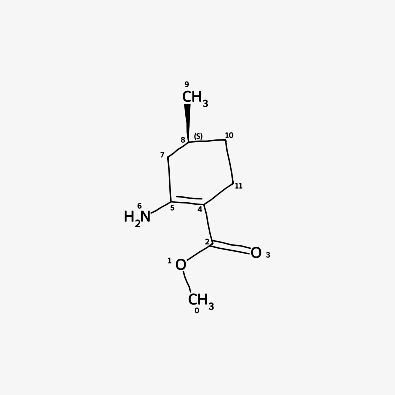 COC(=O)C1=C(N)C[C@@H](C)CC1